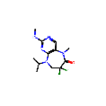 CNc1ncc2c(n1)N(C(C)C)CC(F)(F)C(=O)N2C